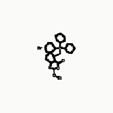 CCOc1nc2cccc(C[P+](c3ccccc3)(c3ccccc3)c3ccccc3)c2c(=O)o1.[Br-]